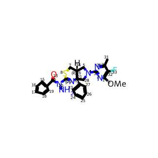 COc1nc(N2C[C@H]3CSC(N(N)C(=O)c4ccccc4)=N[C@@]3(c3ccccc3)C2)nc(C)c1F